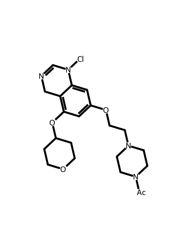 CC(=O)N1CCN(CCOc2cc(OC3CCOCC3)c3c(c2)N(Cl)C=NC3)CC1